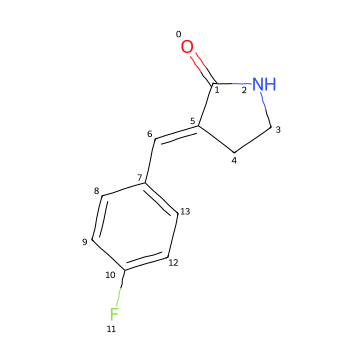 O=C1NCC/C1=C\c1ccc(F)cc1